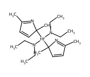 CC[N](CC)[Hf]([N](CC)CC)([C]1(C)C=CC(C)=N1)[C]1(C)C=CC(C)=N1